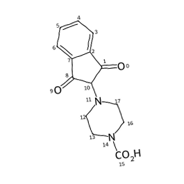 O=C1c2ccccc2C(=O)C1N1CCN(C(=O)O)CC1